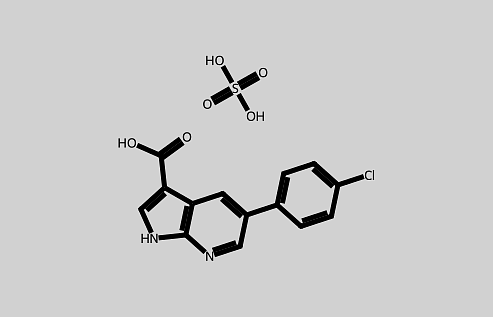 O=C(O)c1c[nH]c2ncc(-c3ccc(Cl)cc3)cc12.O=S(=O)(O)O